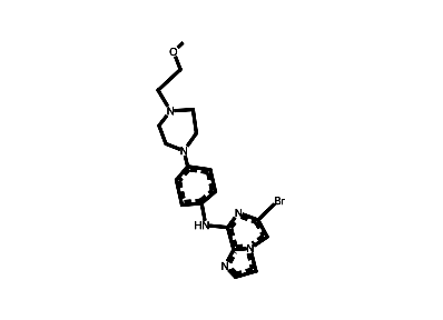 COCCN1CCN(c2ccc(Nc3nc(Br)cn4ccnc34)cc2)CC1